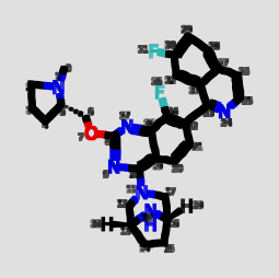 CN1CCC[C@H]1COc1nc(N2C[C@H]3CC[C@@H](C2)N3)c2ccc(-c3nccc4ccc(F)cc34)c(F)c2n1